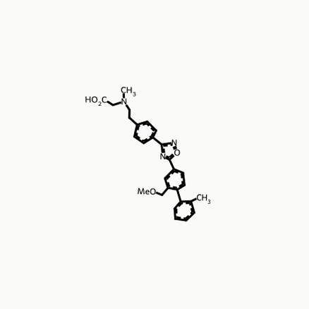 COCc1cc(-c2nc(-c3ccc(CCN(C)CC(=O)O)cc3)no2)ccc1-c1ccccc1C